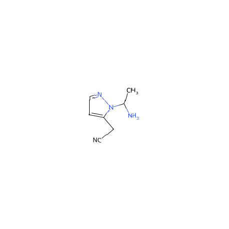 CC(N)n1nccc1CC#N